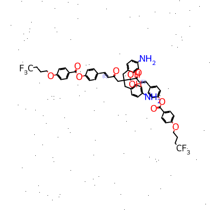 Nc1ccc(CC(CC(=O)/C=C/c2ccc(OC(=O)c3ccc(OCCCC(F)(F)F)cc3)cc2)(Cc2ccc(N)cc2)C(O)(O)C(=O)/C=C/c2ccc(OC(=O)c3ccc(OCCCC(F)(F)F)cc3)cc2)cc1